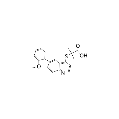 COc1ccccc1-c1ccc2nccc(SC(C)(C)C(=O)O)c2c1